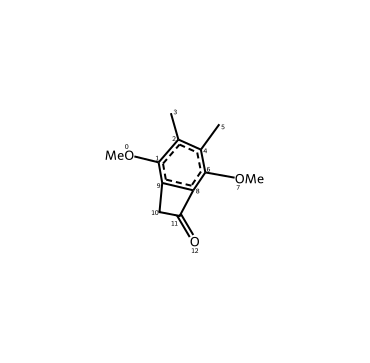 COc1c(C)c(C)c(OC)c2c1CC2=O